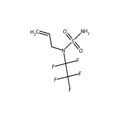 C=CCN(C(F)(F)C(F)(F)F)S(N)(=O)=O